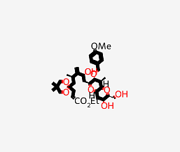 C=C([C@H](C)CC1(CCC(=O)OCC)OCC(C)(C)CO1)[C@H](O)C[C@@H]1O[C@H]2C[C@@H](O)[C@@H](CO)O[C@H]2[C@H](C)[C@H]1OCc1ccc(OC)cc1